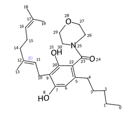 CCCCCc1cc(O)c(C/C=C(\C)CCC=C(C)C)c(O)c1C(=O)N1CCOCC1